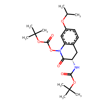 CC(C)Oc1ccc2c(c1)N(OC(=O)OC(C)(C)C)C(=O)[C@@H](NC(=O)OC(C)(C)C)C2